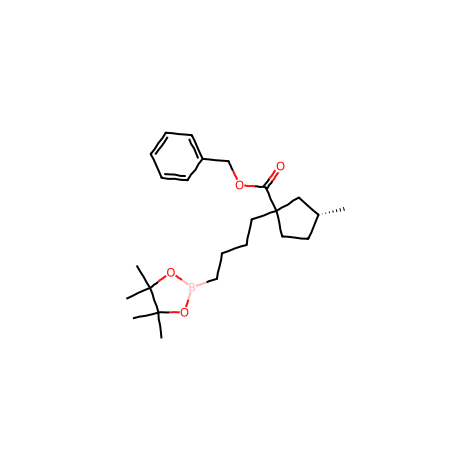 C[C@@H]1CCC(CCCCB2OC(C)(C)C(C)(C)O2)(C(=O)OCc2ccccc2)C1